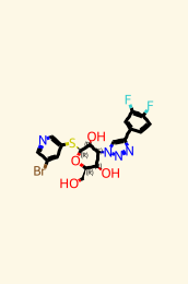 OC[C@H]1O[C@H](Sc2cncc(Br)c2)[C@H](O)[C@@H](n2cc(-c3ccc(F)c(F)c3)nn2)[C@H]1O